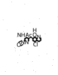 CC(=O)NC(c1ccc(N2CCOCC2)nc1)c1cc(Cl)c2cccnc2c1O